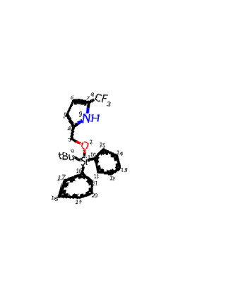 CC(C)(C)[Si](OCC1CC=C(C(F)(F)F)N1)(c1ccccc1)c1ccccc1